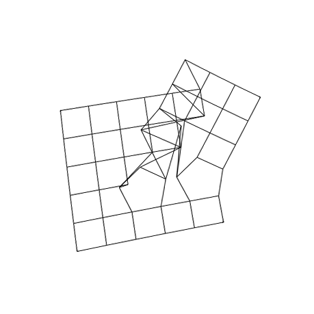 C1C2C3C4C5CC6C7C8C9C%10C%11C%12C%13CC%14C%15C%16C%17CC%18C%19C%20C1C21C32C3C%21%22C%23C%24%25C%26C%27(C%16C%15%16C%14%13C%12%13C%11%12C%10%11C9%10C89C78C56C42C38C%219C%23%10C%24%11C%26%12C%27%16%13)C%17%18C%19%25C%201%22